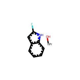 CCCO.Fc1cc2ccccc2[nH]1